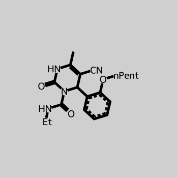 CCCCCOc1ccccc1C1C(C#N)=C(C)NC(=O)N1C(=O)NCC